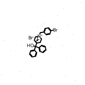 OC(c1ccccc1)(c1ccccc1)C12CC[N+](Cc3ccc(Br)cc3)(CC1)CC2.[Br-]